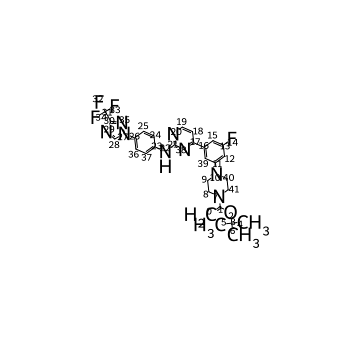 C=C(OC(C)(C)C)N1CCN(c2cc(F)cc(-c3ccnc(Nc4ccc(-n5cnc(C(F)(F)F)n5)cc4)n3)c2)CC1